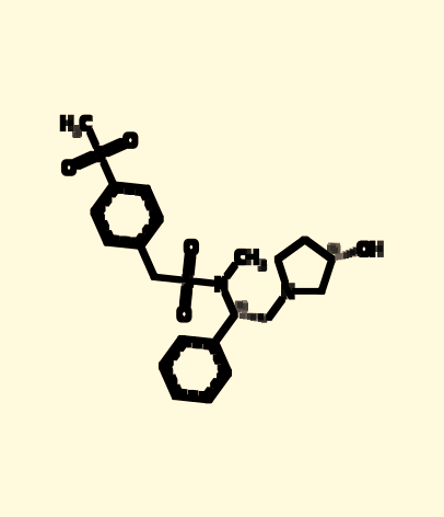 CN([C@H](CN1CC[C@H](O)C1)c1ccccc1)S(=O)(=O)Cc1ccc(S(C)(=O)=O)cc1